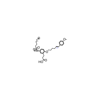 COc1ccc(/C=C/CCCCOc2ccc(NS(=O)(=O)CCC=C=O)cc2CCC(=O)O)cc1